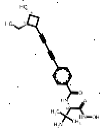 CC(C)(N)[C@H](NC(=O)c1ccc(C#CC#CC2C[C@@H](O)[C@@H]2CO)cc1)C(=O)NO